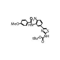 COc1ccc(C(=O)Nc2cc(-c3csc(NC(=O)OC(C)(C)C)n3)ccc2[N+](=O)[O-])cc1